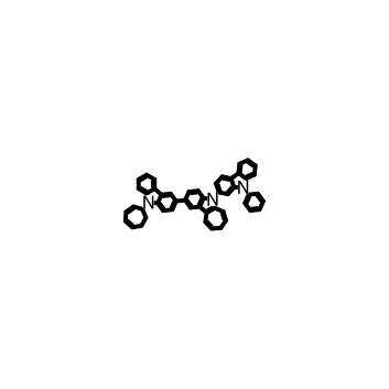 C1=CCCC(n2c3ccccc3c3cc(-c4ccc5c(c4)c4c(n5-c5ccc6c7ccccc7n(-c7ccccc7)c6c5)C=CCC=C4)ccc32)C=C1